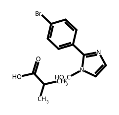 CC(C)C(=O)O.O=C(O)n1ccnc1-c1ccc(Br)cc1